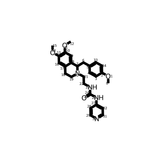 COc1ccc(CC2c3cc(OC)c(OC)cc3CCN2CCNC(=O)Nc2ccncc2)cc1